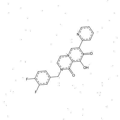 O=c1c(-c2ccccn2)cn2ccn(Cc3ccc(F)c(F)c3)c(=O)c2c1O